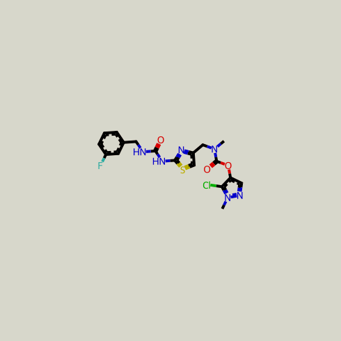 CN(Cc1csc(NC(=O)NCc2cccc(F)c2)n1)C(=O)Oc1cnn(C)c1Cl